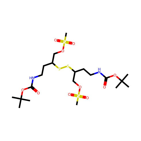 CC(C)(C)OC(=O)NCCC(COS(C)(=O)=O)SSC(CCNC(=O)OC(C)(C)C)COS(C)(=O)=O